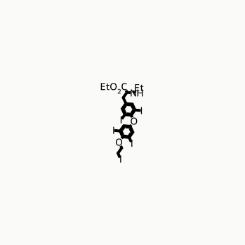 CCNC(Cc1cc(I)c(Oc2cc(I)c(OCCI)c(I)c2)c(I)c1)C(=O)OCC